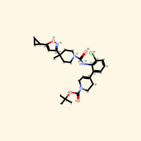 CC(C)(C)OC(=O)N1CC=C(c2cccc(Cl)c2NC(=O)N2CCC(C)(c3cc(C4CC4)on3)CC2)CC1